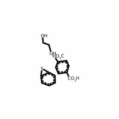 O=C(O)c1ccc(C(=O)O)cc1.OCCO.c1ccc2c(c1)S2